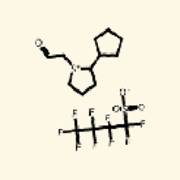 O=CC[S+]1CCCC1C1CCCC1.O=S(=O)([O-])C(F)(F)C(F)(F)C(F)(F)C(F)(F)F